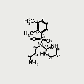 Cc1cccc(S(=O)(=O)N(CCCN)C2NCCCN2)c1C